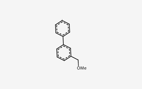 COCc1cccc(-c2cc[c]cc2)c1